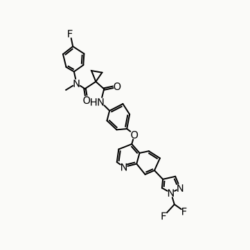 CN(C(=O)C1(C(=O)Nc2ccc(Oc3ccnc4cc(-c5cnn(C(F)F)c5)ccc34)cc2)CC1)c1ccc(F)cc1